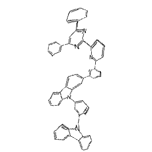 c1ccc(-c2cc(-c3ccccc3)nc(-c3cccc(-c4cccc(-c5ccc6c7ccccc7n(-c7cccc(-n8c9ccccc9c9ccccc98)c7)c6c5)n4)n3)n2)cc1